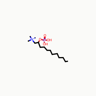 CCCCCCCCCCC(C[N+](C)(C)C)OP(=O)(O)O